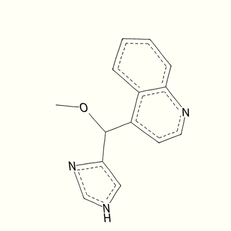 COC(c1c[nH]cn1)c1ccnc2ccccc12